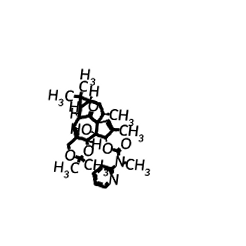 CC1=C[C@]23C(=O)[C@@H](C=C4COC(C)(C)O[C@H]4[C@]2(O)[C@H]1OC(=O)N(C)c1ccccn1)[C@H]1[C@@H](C[C@H]3C)C1(C)C